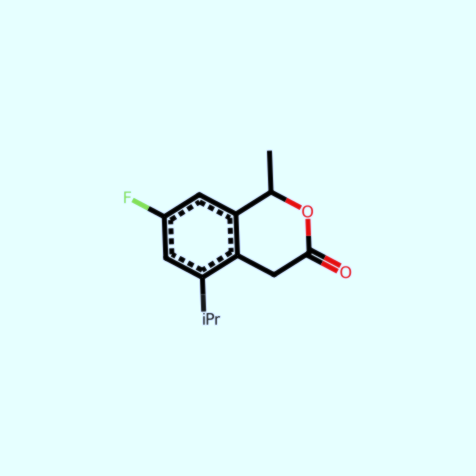 CC(C)c1cc(F)cc2c1CC(=O)OC2C